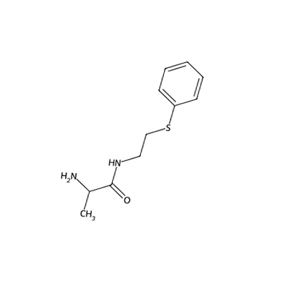 CC(N)C(=O)NCCSc1ccccc1